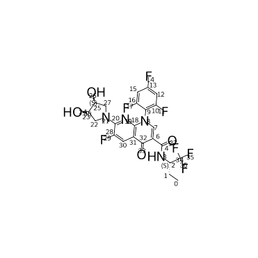 CC[C@H](NC(=O)c1cn(-c2c(F)cc(F)cc2F)c2nc(N3C[C@@H](O)[C@@H](O)C3)c(F)cc2c1=O)C(F)(F)F